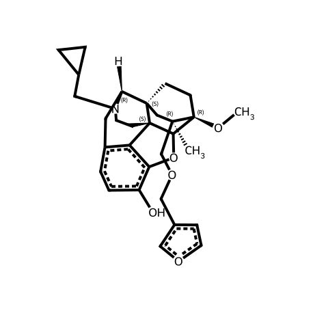 CO[C@]12CC[C@@]3(C[C@]1(C)COCc1ccoc1)[C@H]1Cc4ccc(O)c5c4[C@@]3(CCN1CC1CC1)C2O5